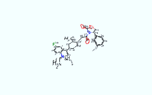 C=Nc1ccc(F)cc1/C(=C\C)C1CCC(CC(=O)N2C(=O)OC[C@H]2c2ccccc2)C(C)C1